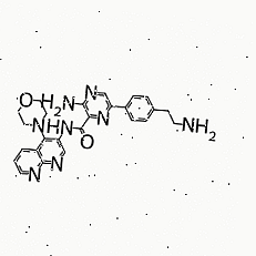 NCCc1ccc(-c2cnc(N)c(C(=O)Nc3cnc4ncccc4c3N3CCOCC3)n2)cc1